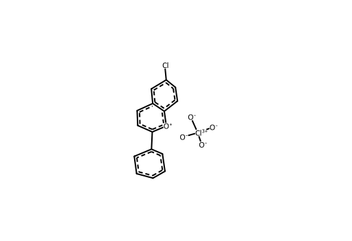 Clc1ccc2[o+]c(-c3ccccc3)ccc2c1.[O-][Cl+3]([O-])([O-])[O-]